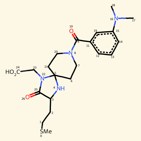 CSCCC1NC2(CCN(C(=O)c3cccc(N(C)C)c3)CC2)N(CC(=O)O)C1=O